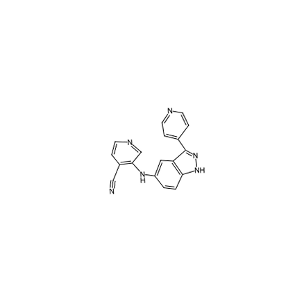 N#Cc1ccncc1Nc1ccc2[nH]nc(-c3ccncc3)c2c1